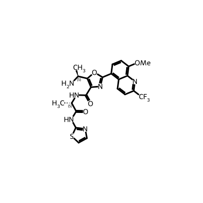 COc1ccc(-c2nc(C(=O)N[C@@H](C)C(=O)Nc3nccs3)c([C@H](C)N)o2)c2ccc(C(F)(F)F)nc12